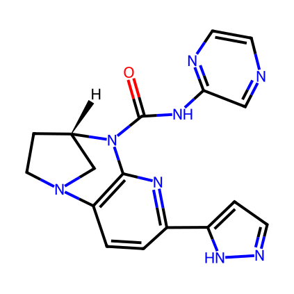 O=C(Nc1cnccn1)N1c2nc(-c3ccn[nH]3)ccc2N2CC[C@H]1C2